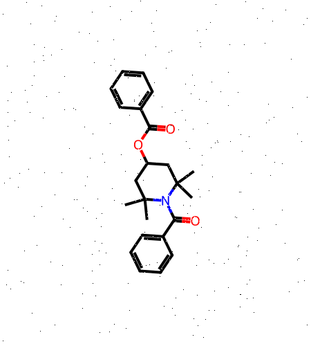 CC1(C)CC(OC(=O)c2ccccc2)CC(C)(C)N1C(=O)c1ccccc1